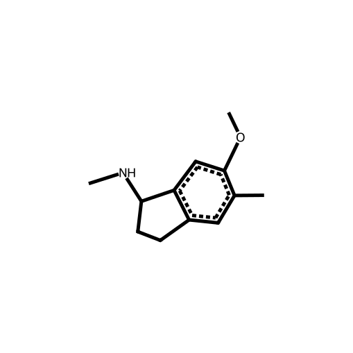 CNC1CCc2cc(C)c(OC)cc21